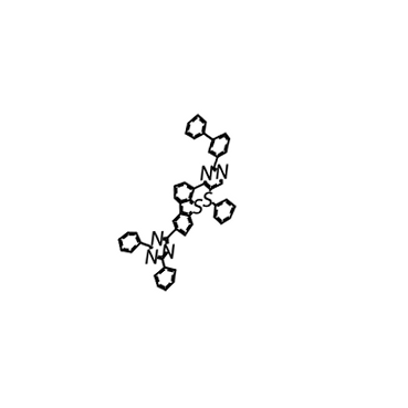 c1ccc(Sc2cnc(-c3cccc(-c4ccccc4)c3)nc2-c2cccc3c2sc2ccc(-c4nc(-c5ccccc5)nc(-c5ccccc5)n4)cc23)cc1